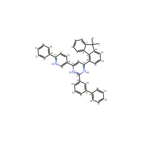 CC1(C)c2ccccc2-c2c(-c3cc(-c4ccc(-c5ccccc5)nc4)nc(-c4cccc(-c5ccccc5)c4)n3)cccc21